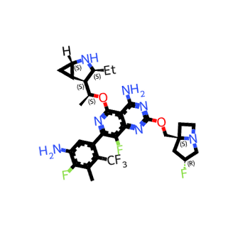 CC[C@@H]1N[C@H]2CC2[C@@H]1[C@H](C)Oc1nc(-c2cc(N)c(F)c(C)c2C(F)(F)F)c(F)c2nc(OC[C@@]34CCN3C[C@H](F)C4)nc(N)c12